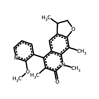 COc1ncccc1-c1c(C)c(=O)n(C)c2c(C)c3c(cc12)C(C)CO3